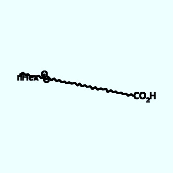 CCCCCC/C=C\CCCCCCCC(=O)OCCCCCCCCCCCCCCCCCCCCCCCCCCCCCCCCCCC(=O)O